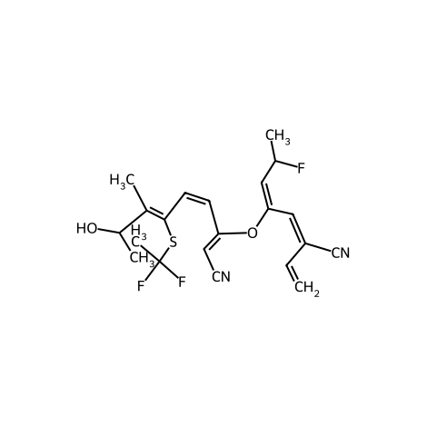 C=C/C(C#N)=C\C(=C/C(C)F)OC(/C=C\C(SC(C)(F)F)=C(/C)C(C)O)=C\C#N